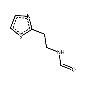 O=CNCCc1nccs1